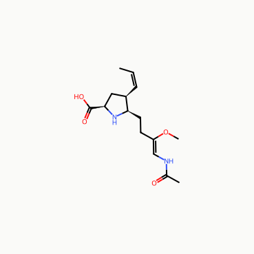 C/C=C\[C@@H]1C[C@H](C(=O)O)N[C@@H]1CCC(=CNC(C)=O)OC